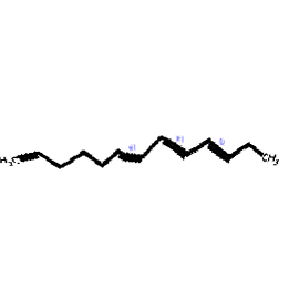 C=CCCC/C=C/C=C/C=C/CC